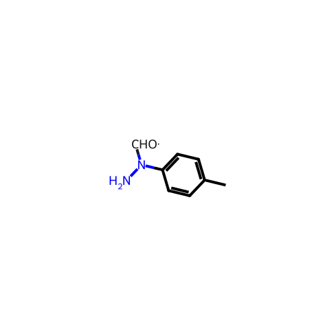 Cc1ccc(N(N)[C]=O)cc1